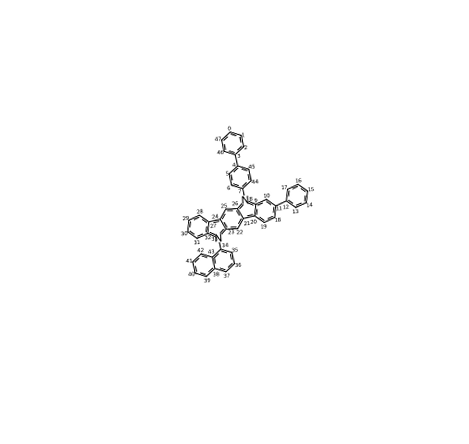 c1ccc(-c2ccc(-n3c4cc(-c5ccccc5)ccc4c4cc5c(cc43)c3ccccc3n5-c3cccc4ccccc34)cc2)cc1